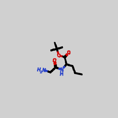 CCCC(NC(=O)CN)C(=O)OC(C)(C)C